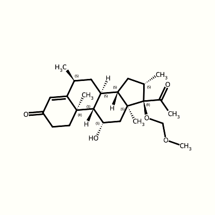 COCO[C@]1(C(C)=O)[C@@H](C)C[C@H]2[C@@H]3C[C@H](C)C4=CC(=O)CC[C@]4(C)[C@H]3[C@@H](O)C[C@@]21C